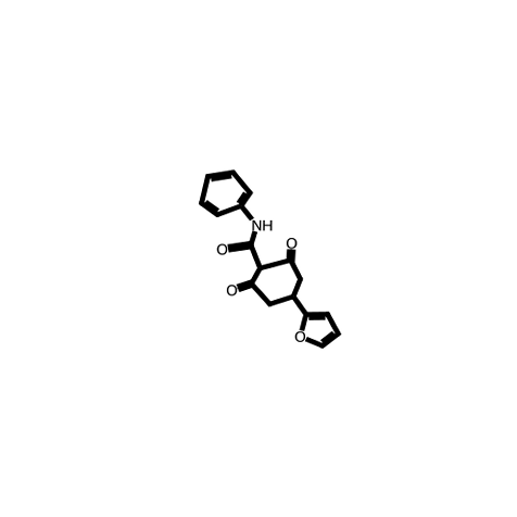 O=C1CC(c2ccco2)CC(=O)C1C(=O)Nc1ccccc1